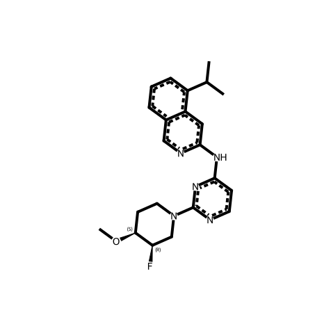 CO[C@H]1CCN(c2nccc(Nc3cc4c(C(C)C)cccc4cn3)n2)C[C@H]1F